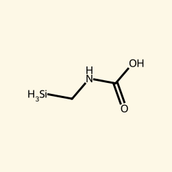 O=C(O)NC[SiH3]